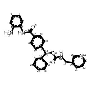 Nc1ccccc1NC(=O)c1ccc([C@@H](OC(=O)NCc2cccnc2)c2ccccc2)cc1